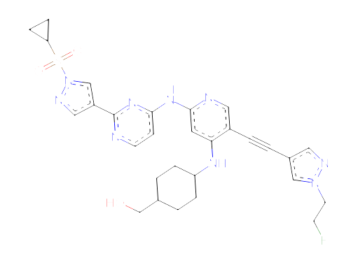 O=S(=O)(C1CC1)n1cc(-c2nccc(Nc3cc(NC4CCC(CO)CC4)c(C#Cc4cnn(CCF)c4)cn3)n2)cn1